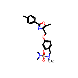 CC(=O)ON(Cc1ccc(OCc2nc(-c3ccc(C)cc3)oc2C)cc1)S(=O)(=O)N(C)C